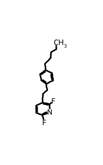 CCCCCc1ccc(CCc2ccc(F)nc2F)cc1